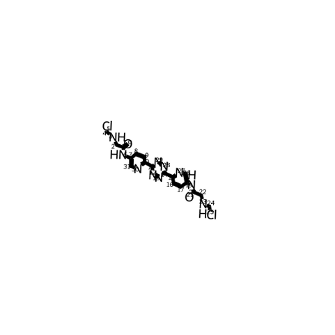 O=C(CNCCl)Nc1ccc(-c2nnc(-c3ccc(NC(=O)CNCCl)cn3)nn2)nc1